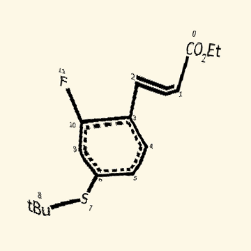 CCOC(=O)/C=C/c1ccc(SC(C)(C)C)cc1F